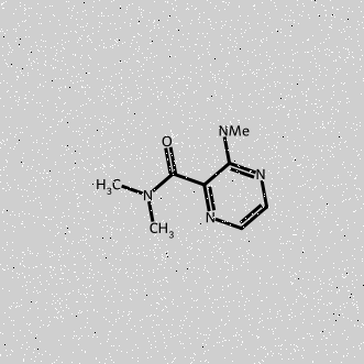 CNc1nccnc1C(=O)N(C)C